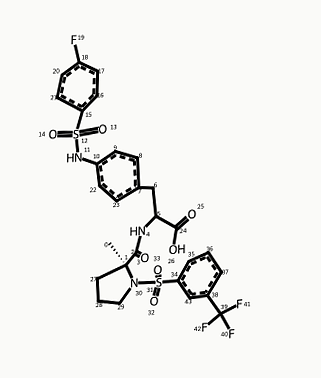 C[C@@]1(C(=O)NC(Cc2ccc(NS(=O)(=O)c3ccc(F)cc3)cc2)C(=O)O)CCCN1S(=O)(=O)c1cccc(C(F)(F)F)c1